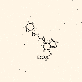 CCOC(=O)Cc1ccc(OCCOC2CCCCO2)c2ccoc12